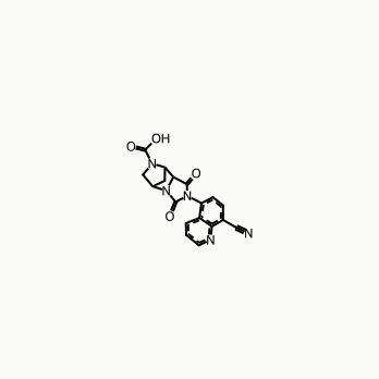 N#Cc1ccc(N2C(=O)C3C4CC(CN4C(=O)O)N3C2=O)c2cccnc12